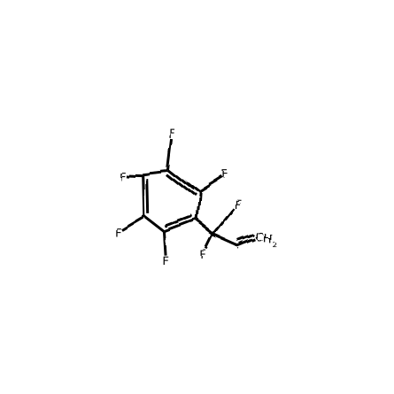 C=[C]C(F)(F)c1c(F)c(F)c(F)c(F)c1F